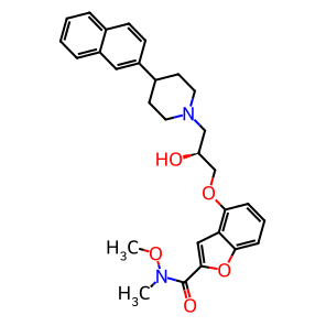 CON(C)C(=O)c1cc2c(OC[C@@H](O)CN3CCC(c4ccc5ccccc5c4)CC3)cccc2o1